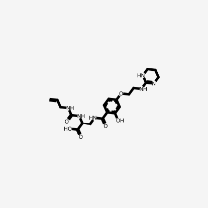 C=CCNC(=O)N[C@@H](CNC(=O)c1ccc(OCCNC2=NCCCN2)cc1O)C(=O)O